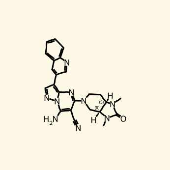 CN1C(=O)N(C)[C@H]2CCN(c3nc4c(-c5cnc6ccccc6c5)cnn4c(N)c3C#N)C[C@H]21